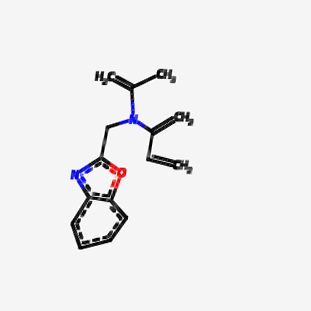 C=CC(=C)N(Cc1nc2ccccc2o1)C(=C)C